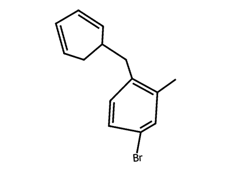 Cc1cc(Br)ccc1CC1C=CC=CC1